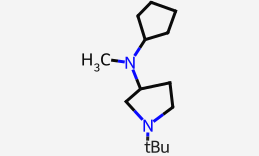 CN(C1CCCC1)C1CCN(C(C)(C)C)C1